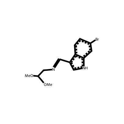 COC(CN=Cc1c[nH]c2cc(Br)ccc12)OC